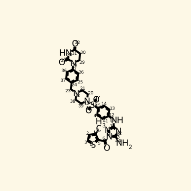 Cc1ccsc1C(=O)n1nc(Nc2ccc(S(=O)(=O)N3CCN(Cc4ccc(N5CCC(=O)NC5=O)cc4)CC3)cc2)nc1N